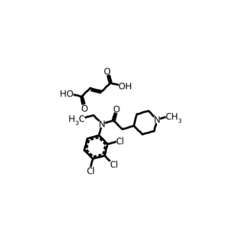 CCN(C(=O)CC1CCN(C)CC1)c1ccc(Cl)c(Cl)c1Cl.O=C(O)/C=C/C(=O)O